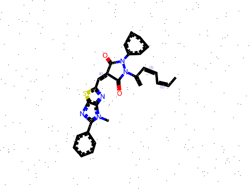 C=C(/C=C\C=C/C)N1C(=O)/C(=C\c2nc3c(nc(-c4ccccc4)n3C)s2)C(=O)N1c1ccccc1